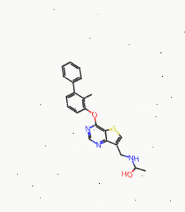 Cc1c(Oc2ncnc3c(CNC(C)O)csc23)cccc1-c1ccccc1